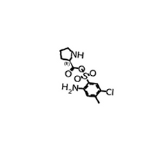 Cc1cc(N)c(S(=O)(=O)OC(=O)[C@H]2CCCN2)cc1Cl